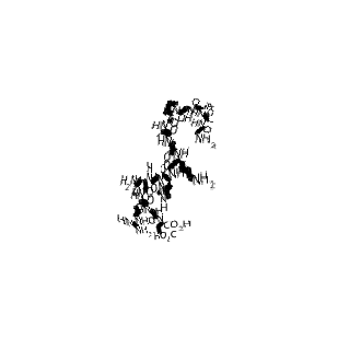 CC(C)[C@H](NC(=O)[C@H](C)NC(=O)CN)C(=O)NCC(=O)N1CCC[C@H]1C(=O)N[C@@H](C)C(=O)NCC(=O)N[C@@H](CCCCN)C(=O)N[C@@H](Cc1c[nH]cn1)C(=O)NCC(=O)N[C@@H](CC(N)=O)C(=O)N[C@@H](CCCNC(=N)N)C(=O)NCC(=O)N[C@@H](CCC(=O)O)C(=O)O